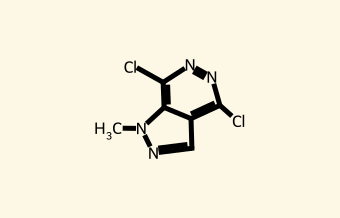 Cn1ncc2c(Cl)nnc(Cl)c21